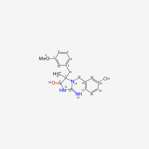 COc1cccc(CC2(C)C(=O)NC(=N)N2Cc2cccc(Cl)c2)c1